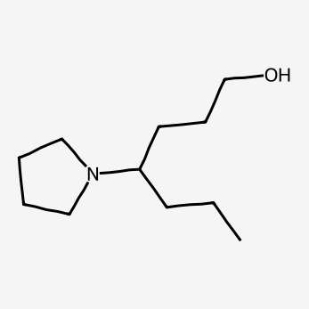 CCCC(CCCO)N1CCCC1